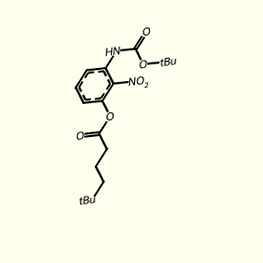 CC(C)(C)CCCC(=O)Oc1cccc(NC(=O)OC(C)(C)C)c1[N+](=O)[O-]